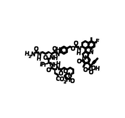 CC#CC1(O)C(=O)OCc2c1cc1n(c2=O)Cc2c-1nc1cc(F)c(C)c3c1c2[C@@H](NC(=O)OCc1ccc(NC(=O)[C@H](CCCNC(N)=O)NC(=O)[C@@H](NC(=O)[C@H](CCC(=O)O)NC(=O)CCCCCN2C(=O)C=CC2=O)C(C)C)cc1)CC3